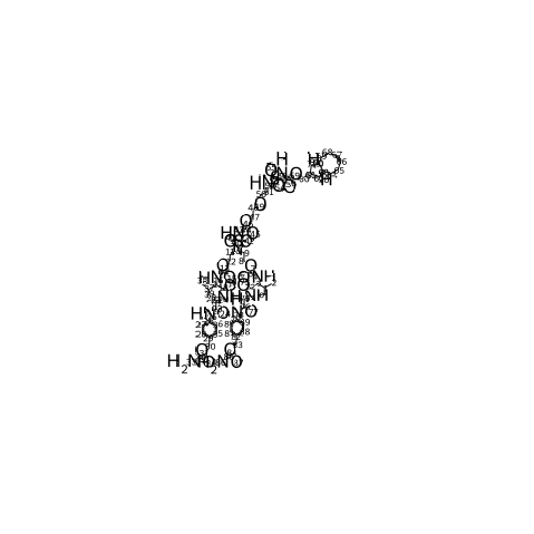 CC(C)C(NC(=O)OCCN(CCOC(=O)NC(C(=O)N[C@@H](C)C(=O)Nc1ccc(COC(N)=O)cc1)C(C)C)S(=O)(=O)NC(=O)OCCOCCNS(=O)(=O)NC(=O)OC[C@H]1C[C@H]2CCC#CCC[C@H]2C1)C(=O)NCC(=O)Nc1ccc(COC(N)=O)cc1